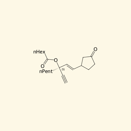 C#C[C@@](C=CC1CCC(=O)C1)(CCCCC)OC(=O)CCCCCC